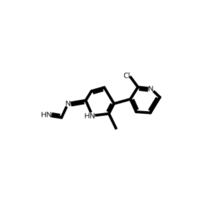 Cc1[nH]/c(=N\C=N)ccc1-c1cccnc1Cl